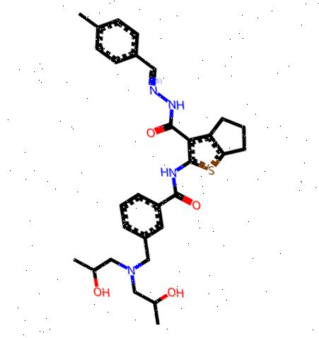 Cc1ccc(/C=N/NC(=O)c2c(NC(=O)c3cccc(CN(CC(C)O)CC(C)O)c3)sc3c2CCC3)cc1